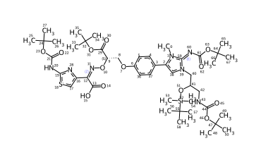 Cn1c(-c2ccc(OC[C@H](O/N=C(\C(=O)O)c3csc(NC(=O)OC(C)(C)C)n3)C(=O)OC(C)(C)C)cc2)cn(CC(CNC(=O)OC(C)(C)C)O[Si](C)(C)C(C)(C)C)/c1=N\C(=O)OC(C)(C)C